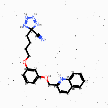 N#CC1(CCCCOc2cccc(OCc3ccc4ccccc4n3)c2)N=NN=N1